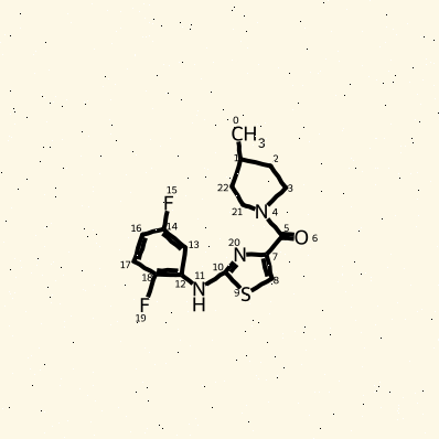 CC1CCN(C(=O)c2csc(Nc3cc(F)ccc3F)n2)CC1